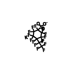 O=S(=O)([O-])C1(F)C(F)(F)C(F)(F)C(F)(C(F)(F)C(F)(F)F)C(F)(F)C1(F)F.[K+]